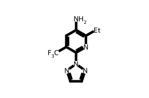 CCc1nc(-n2nccn2)c(C(F)(F)F)cc1N